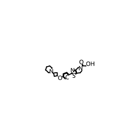 O=C(CO)N1CCc2sc(-c3ccc(O[C@H]4C[C@H](N5CCCCC5)C4)cc3)nc2C1